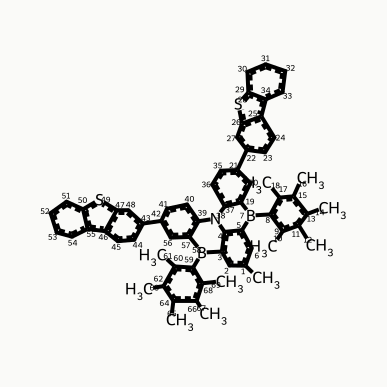 Cc1cc2c3c(c1)B(c1c(C)c(C)c(C)c(C)c1C)c1cc(-c4ccc5c(c4)sc4ccccc45)ccc1N3c1ccc(-c3ccc4c(c3)sc3ccccc34)cc1B2c1c(C)c(C)c(C)c(C)c1C